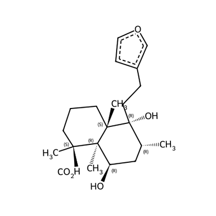 C[C@@H]1C[C@@H](O)[C@]2(C)[C@](C)(CCC[C@]2(C)C(=O)O)[C@@]1(O)CCc1ccoc1